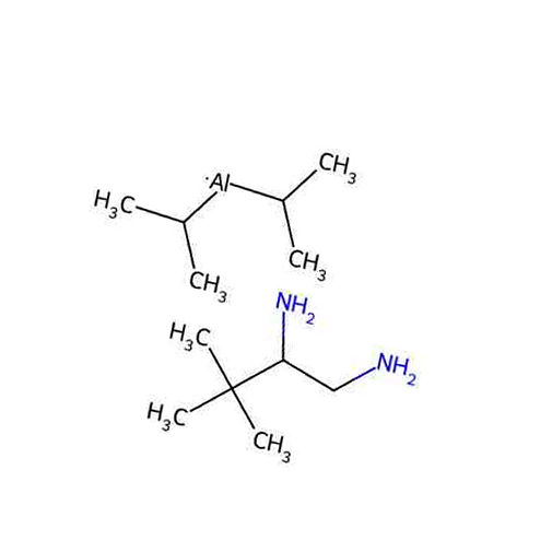 CC(C)(C)C(N)CN.C[CH](C)[Al][CH](C)C